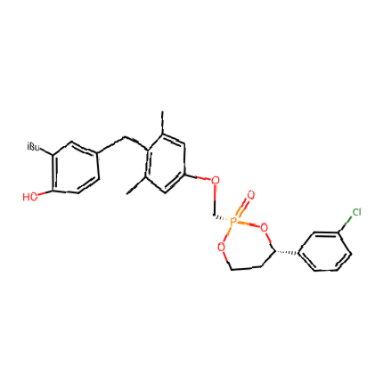 CCC(C)c1cc(Cc2c(C)cc(OC[P@@]3(=O)OCC[C@@H](c4cccc(Cl)c4)O3)cc2C)ccc1O